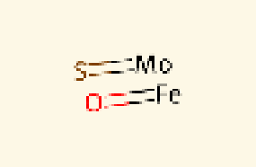 [O]=[Fe].[S]=[Mo]